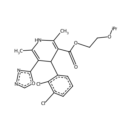 CC1=C(C(=O)OCCOC(C)C)C(c2cccc(Cl)c2Cl)C(c2nnco2)=C(C)N1